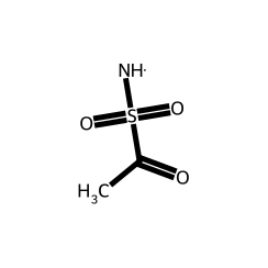 CC(=O)S([NH])(=O)=O